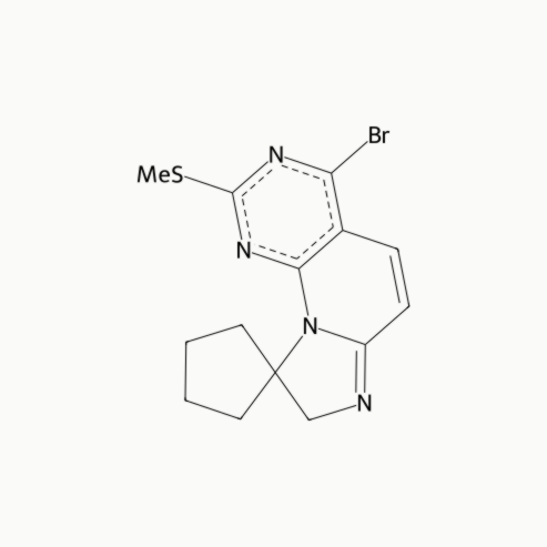 CSc1nc(Br)c2c(n1)N1C(=NCC13CCCC3)C=C2